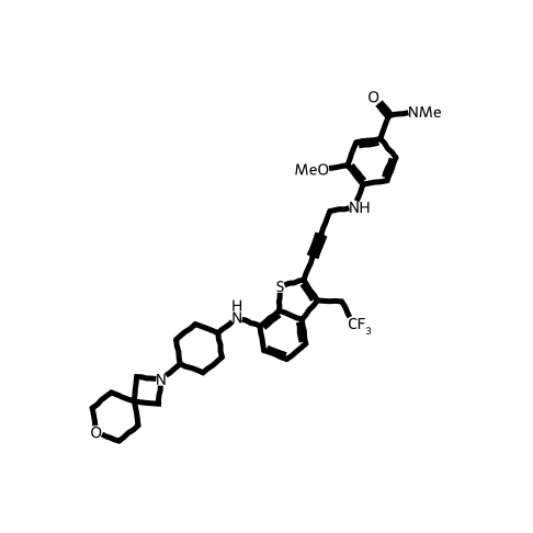 CNC(=O)c1ccc(NCC#Cc2sc3c(NC4CCC(N5CC6(CCOCC6)C5)CC4)cccc3c2CC(F)(F)F)c(OC)c1